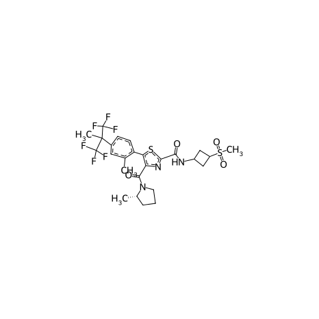 Cc1cc(C(C)(C(F)(F)F)C(F)(F)F)ccc1-c1sc(C(=O)NC2CC(S(C)(=O)=O)C2)nc1C(=O)N1CCC[C@@H]1C